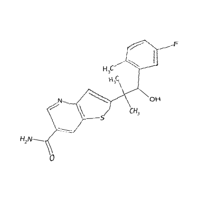 Cc1ccc(F)cc1C(O)C(C)(C)c1cc2ncc(C(N)=O)cc2s1